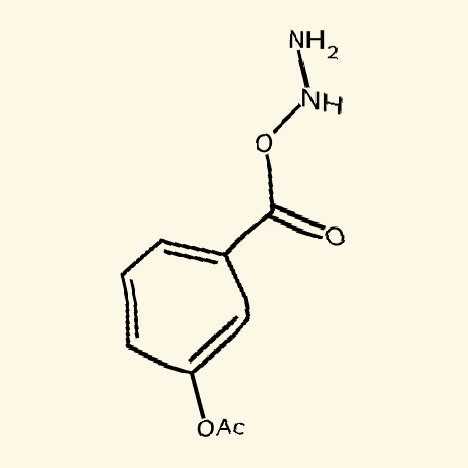 CC(=O)Oc1cccc(C(=O)ONN)c1